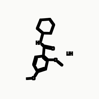 COc1ccc(C(=O)PC2CCCCC2)c(OC)c1.[LiH]